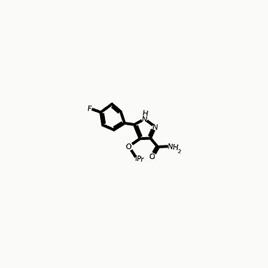 CC(C)Oc1c(C(N)=O)n[nH]c1-c1ccc(F)cc1